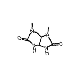 CN1C(=O)NC2NC(=O)N(C)C21